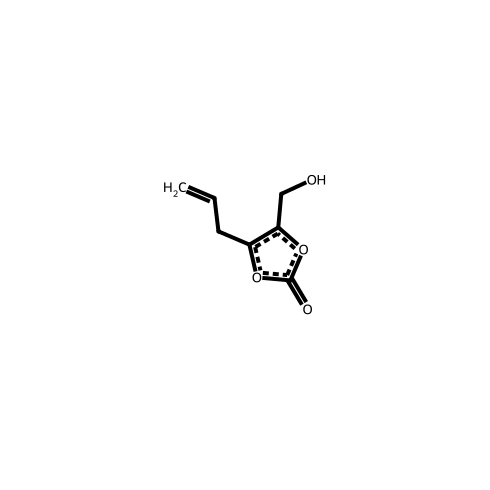 C=CCc1oc(=O)oc1CO